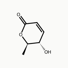 C[C@H]1OC(=O)C=C[C@@H]1O